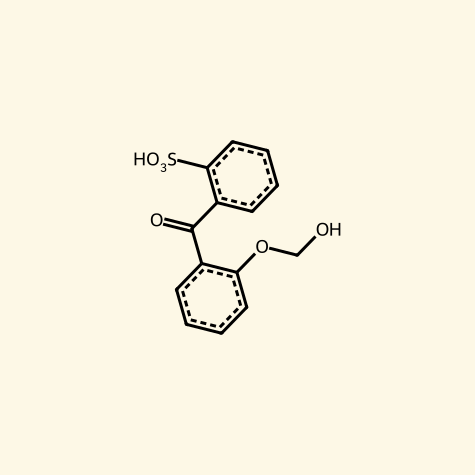 O=C(c1ccccc1OCO)c1ccccc1S(=O)(=O)O